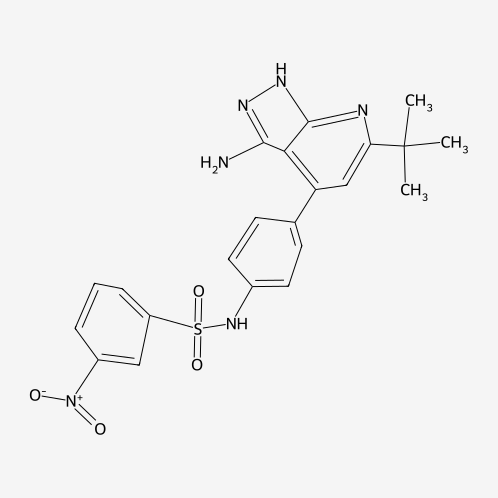 CC(C)(C)c1cc(-c2ccc(NS(=O)(=O)c3cccc([N+](=O)[O-])c3)cc2)c2c(N)n[nH]c2n1